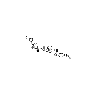 CN1NC(NC(=O)Cc2cccc(OC(F)(F)F)c2)=CC=C1CCCCc1nnc(NC(=O)Cc2cccc(Cl)c2)s1